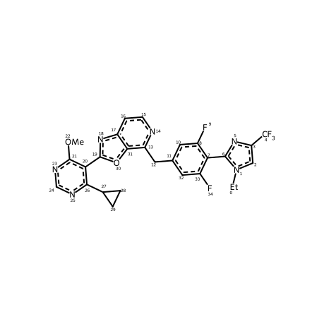 CCn1cc(C(F)(F)F)nc1-c1c(F)cc(Cc2nccc3nc(-c4c(OC)ncnc4C4CC4)oc23)cc1F